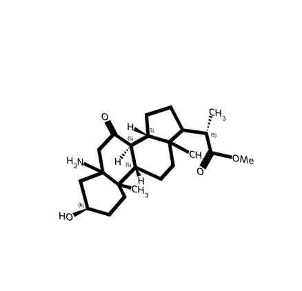 COC(=O)[C@@H](C)C1CC[C@H]2[C@@H]3C(=O)CC4(N)C[C@H](O)CCC4(C)[C@H]3CCC12C